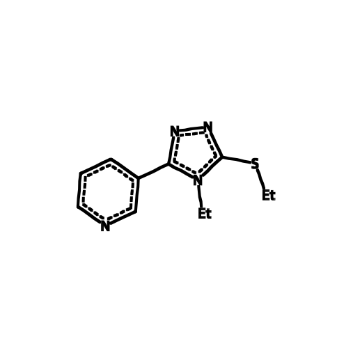 CCSc1nnc(-c2cccnc2)n1CC